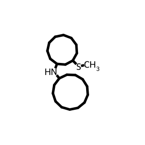 CSC1CCCCCCCCC(NC2CCCCCCCCCCCC2)C1